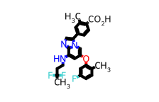 Cc1ccc(F)cc1Oc1cc(NCCC(C)(F)F)c2ncc(-c3ccc(C(=O)O)c(C)c3)n2c1